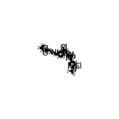 CC(C)Oc1ncc(-c2nc(-n3cc(Cl)c4cc(CNCCC(=O)OC(C)(C)C)ccc43)no2)cc1Cl